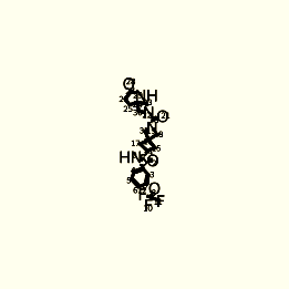 N=S(=O)(c1cccc(OC(F)(F)F)c1)C1CC2(C1)CN(C(=O)N1CC3(CCC(=O)N3)C1)C2